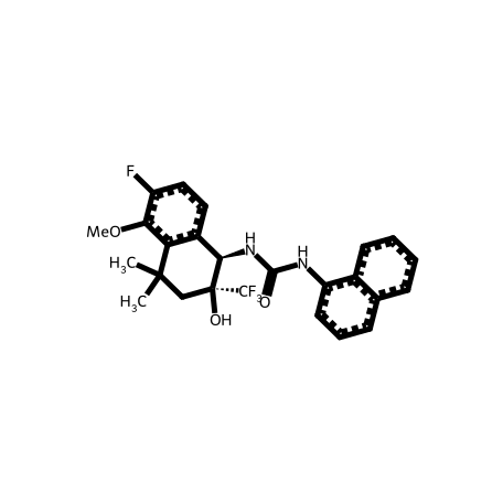 COc1c(F)ccc2c1C(C)(C)C[C@@](O)(C(F)(F)F)[C@@H]2NC(=O)Nc1cccc2ccccc12